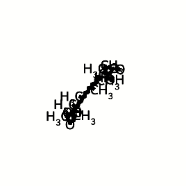 CC1=CC(=O)CC(C)(O)C1CC(=O)/C(C)=C/C=C/C(C)=C/C=C/C=C(C)/C=C/C=C(\C)C=C=C1C(NO)CC(OC=O)CC1(C)C